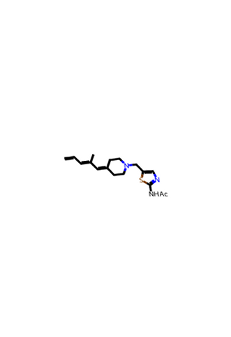 C=C/C=C(\C)C=C1CCN(Cc2cnc(NC(C)=O)s2)CC1